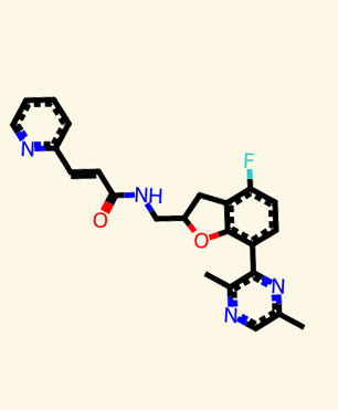 Cc1cnc(C)c(-c2ccc(F)c3c2OC(CNC(=O)/C=C/c2ccccn2)C3)n1